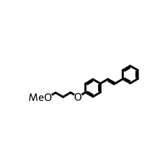 COCCCOc1ccc(C=Cc2ccccc2)cc1